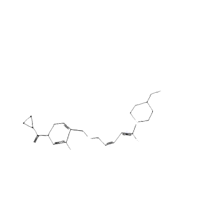 N/C(=C\C=C/COCC1=CCC(C(=O)C2CC2)C=C1F)N1CCC(CC=O)CC1